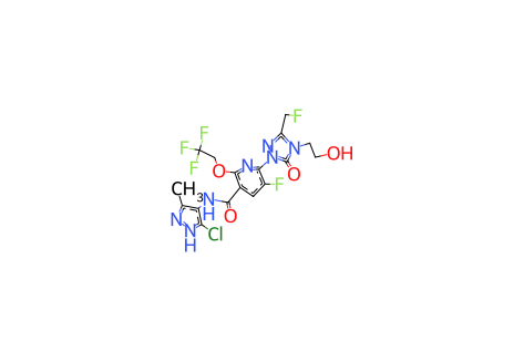 Cc1n[nH]c(Cl)c1NC(=O)c1cc(F)c(-n2nc(CF)n(CCO)c2=O)nc1OCC(F)(F)F